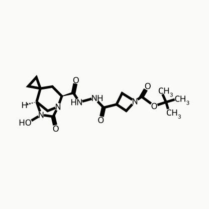 CC(C)(C)OC(=O)N1CC(C(=O)NNC(=O)[C@@H]2CC3(CC3)[C@H]3CN2C(=O)N3O)C1